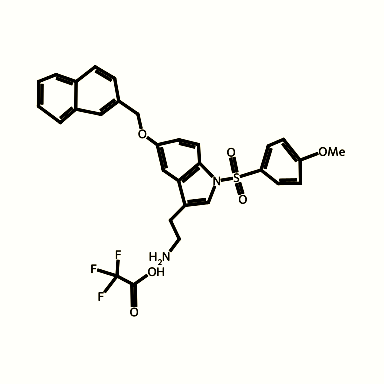 COc1ccc(S(=O)(=O)n2cc(CCN)c3cc(OCc4ccc5ccccc5c4)ccc32)cc1.O=C(O)C(F)(F)F